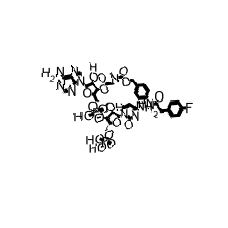 CN(CC(=O)O[C@@H]1C(COP(=O)(O)O[C@H]2[C@@H](O)[C@H](n3ccc(N)nc3=O)O[C@@H]2COP(=O)(O)O)O[C@@H](n2cnc3c(N)ncnc32)[C@@H]1O)C(=O)OCc1ccc(NC(=O)Cc2ccc(F)cc2)cc1